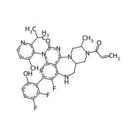 C=CC(=O)N1CC2CNc3c(F)c(-c4c(O)ccc(F)c4F)cc4c3c(nc(=O)n4-c3c(C)ccnc3C(C)C)N2CC1C